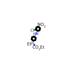 CCOC(=O)CN(CC)c1ccc(/N=N/c2ccc([N+](=O)[O-])cc2Cl)cc1